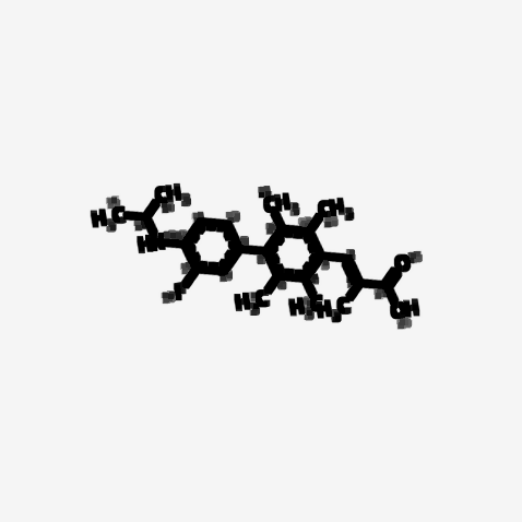 C/C(=C\c1c(C)c(C)c(-c2ccc(NC(C)C)c(F)c2)c(C)c1C)C(=O)O